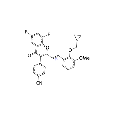 COc1cccc(/C=C/c2oc3c(F)cc(F)cc3c(=O)c2-c2ccc(C#N)cc2)c1OCC1CC1